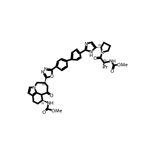 COC(=O)N[C@H]1CCc2ccn3c2C1C(=O)C[C@H](c1nnc(-c2ccc(-c4ccc(-c5ncc([C@@H]6CCCN6C(=O)[C@@H](NC(=O)OC)C(C)C)[nH]5)cc4)cc2)o1)C3